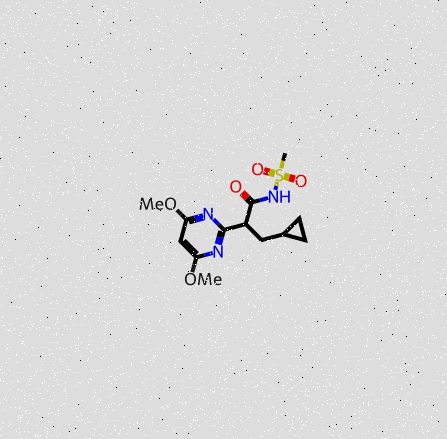 COc1cc(OC)nc(C(CC2CC2)C(=O)NS(C)(=O)=O)n1